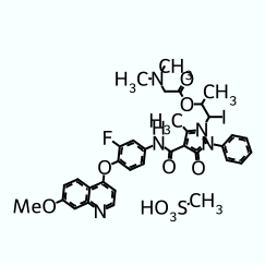 COc1ccc2c(Oc3ccc(NC(=O)c4c(C)n(C(I)C(C)OC(=O)CN(C)C)n(-c5ccccc5)c4=O)cc3F)ccnc2c1.CS(=O)(=O)O